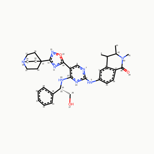 CC1c2cc(Nc3ncc(-c4nc(C56CCN(CC5)CC6)no4)c(N[C@H](CO)c4ccccc4)n3)ccc2C(=O)N(C)C1C